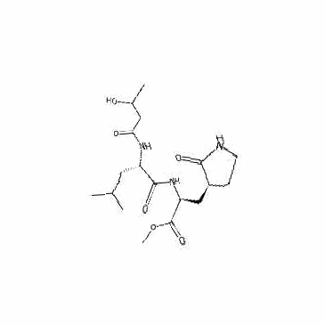 COC(=O)[C@H](C[C@@H]1CCNC1=O)NC(=O)[C@H](CC(C)C)NC(=O)CC(C)O